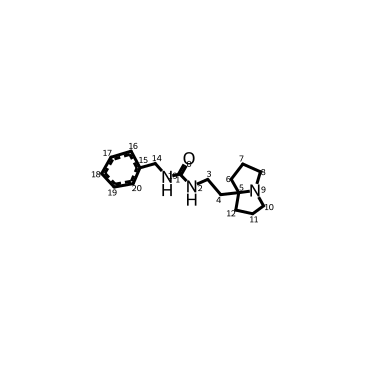 O=C(NCCC12CCCN1CCC2)NCc1ccccc1